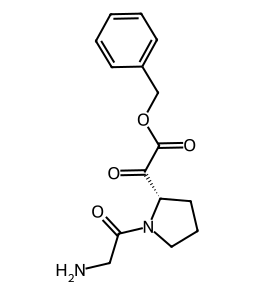 NCC(=O)N1CCC[C@H]1C(=O)C(=O)OCc1ccccc1